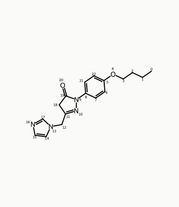 CCCCOc1ccc(N2N=C(Cn3ccnc3)CC2=O)cc1